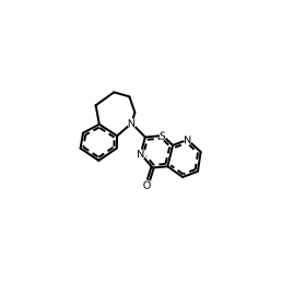 O=c1nc(N2CCCCc3ccccc32)sc2ncccc12